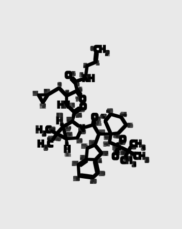 C=CCNC(=O)C(=O)C(CC1CC1)NC(=O)[C@@H]1[C@@H]2[C@H](CN1C(=O)C(C1Cc3ccccc3C1)C1(CS(=O)(=O)C(C)(C)C)CCCCC1)C2(C)C